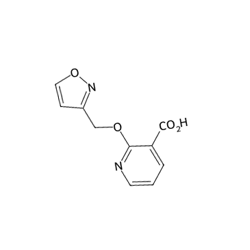 O=C(O)c1cccnc1OCc1ccon1